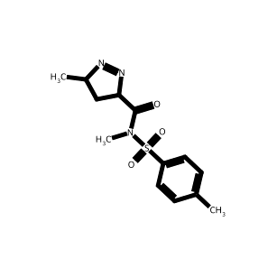 Cc1ccc(S(=O)(=O)N(C)C(=O)C2CC(C)N=N2)cc1